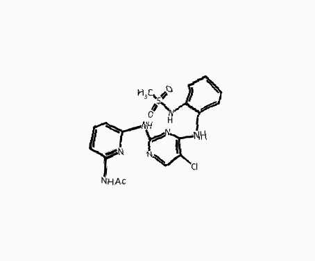 CC(=O)Nc1cccc(Nc2ncc(Cl)c(Nc3ccccc3NS(C)(=O)=O)n2)n1